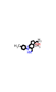 C=C[C@@]1(O)CCC2=CC(Nc3ccc(C)cc3)=C(C=N)C[C@@]21C